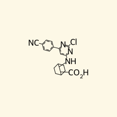 N#Cc1ccc(-c2cc(NC3C4CCC(CC4)C3C(=O)O)nc(Cl)n2)cc1